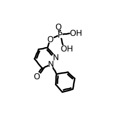 O=c1ccc(OP(=O)(O)O)nn1-c1ccccc1